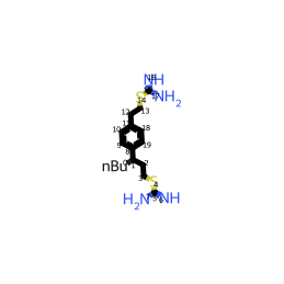 CCCCC(CCSC(=N)N)c1ccc(CCSC(=N)N)cc1